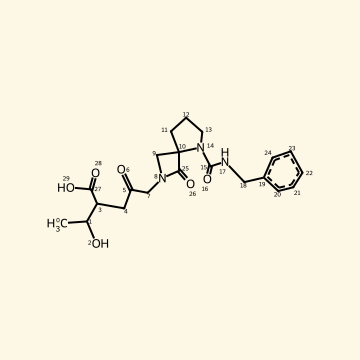 CC(O)C(CC(=O)CN1CC2(CCCN2C(=O)NCc2ccccc2)C1=O)C(=O)O